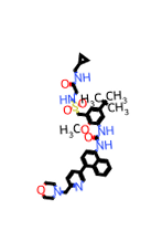 COc1c(CS(=O)(=O)NCC(=O)NCC2CC2)cc(C(C)(C)C)cc1NC(=O)Nc1ccc(-c2ccc(CN3CCOCC3)nc2)c2ccccc12